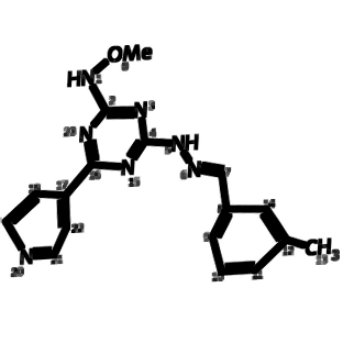 CONc1nc(N/N=C/c2cccc(C)c2)nc(-c2ccncc2)n1